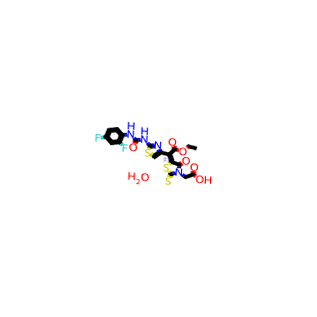 CCOC(=O)/C(=C1/SC(=S)N(CC(=O)O)C1=O)c1csc(NC(=O)Nc2ccc(F)cc2F)n1.O